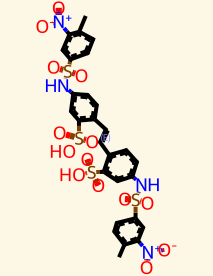 Cc1ccc(S(=O)(=O)Nc2ccc(/C=C/c3ccc(NS(=O)(=O)c4ccc(C)c([N+](=O)[O-])c4)cc3S(=O)(=O)O)c(S(=O)(=O)O)c2)cc1[N+](=O)[O-]